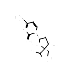 C=C1N=C(N)C=CN1[C@H]1C[C@H](O)[C@](CO)(C(F)F)O1